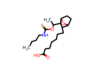 CCCCNC(=S)OC(C)C1C2CCC(O2)C1CCCCCCC(=O)O